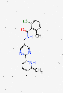 C=C1C=CC=C(c2ncc(CNC(=O)c3c(C)cccc3Cl)cn2)N1